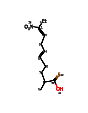 CCC(=CCC=CCCC(C)C(O)=S)[N+](=O)[O-]